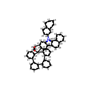 c1ccc2c(c1)-c1ccccc1-c1ccccc1C1(c3ccccc3-2)c2ccccc2-c2cc3c(cc21)c1ccc2ccccc2c1n3-c1ccc2ccccc2c1